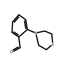 O=Cc1ccccc1N1CCSCC1